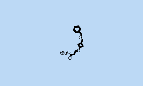 CC(C)(C)OC(=O)CCOC1CC(COCc2ccccc2)C1